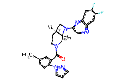 Cc1ccc(-n2cccn2)c(C(=O)N2CC[C@H]3CN(c4cnc5cc(F)c(F)cc5n4)[C@H]3C2)c1